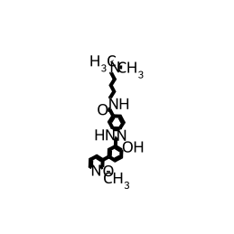 COc1ncccc1-c1ccc(O)c(-c2nc3ccc(C(=O)NCCCCCN(C)C)cc3[nH]2)c1